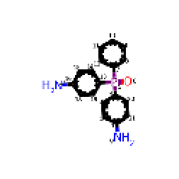 Nc1ccc(P(=O)(c2ccccc2)c2ccc(N)cc2)cc1